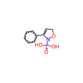 O=P(O)(O)N1OCC=C1c1ccccc1